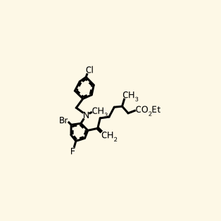 C=C(CCCC(C)CC(=O)OCC)c1cc(F)cc(Br)c1N(C)Cc1ccc(Cl)cc1